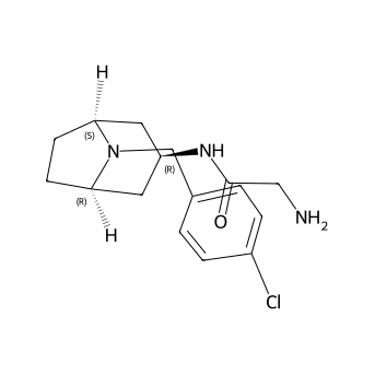 NCC(=O)N[C@H]1C[C@H]2CC[C@@H](C1)N2Cc1ccc(Cl)cc1